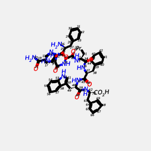 CC(C)C[C@H](NC(=O)[C@H](Cc1c[nH]cn1)NC(=O)[C@H](CCC(N)=O)NC(=O)[C@@H](N)Cc1ccccc1)C(=O)N[C@@H](Cc1ccccc1)C(=O)N[C@@H](Cc1c[nH]c2ccccc12)C(=O)N[C@@H](Cc1ccccc1)C(=O)O